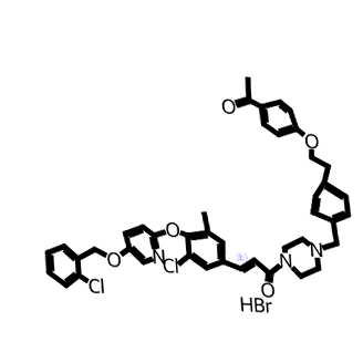 Br.CC(=O)c1ccc(OCCc2ccc(CN3CCN(C(=O)/C=C/c4cc(C)c(Oc5ccc(OCc6ccccc6Cl)cn5)c(Cl)c4)CC3)cc2)cc1